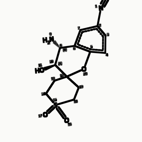 [C-]#[N+]c1ccc2c(c1)[C@@H](N)[C@H](O)C1(CCS(=O)(=O)CC1)O2